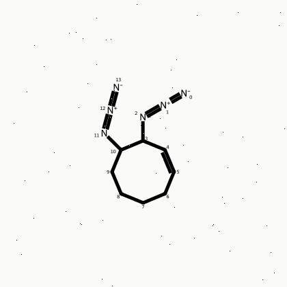 [N-]=[N+]=NC1/C=C\CCCCC1N=[N+]=[N-]